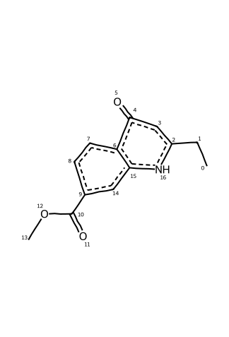 CCc1cc(=O)c2ccc(C(=O)OC)cc2[nH]1